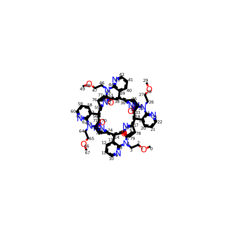 COCCN(C(C)=O)c1ncccc1-c1c2nc(c(-c3cccnc3N(CCOC)C(C)=O)c3ccc([nH]3)c(-c3cccnc3N(CCOC)C(C)=O)c3nc(c(-c4cccnc4N(CCOC)C(C)=O)c4ccc1[nH]4)C=C3)C=C2